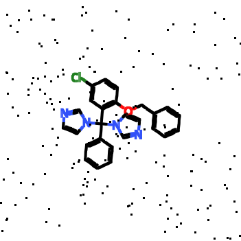 Clc1ccc(OCc2ccccc2)c(C(c2ccccc2)(n2ccnc2)n2ccnc2)c1